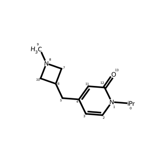 CC(C)n1ccc(CC2CN(C)C2)cc1=O